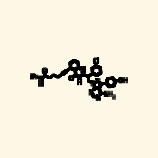 CC(C)NC(=O)CCCC#Cc1cccc2nc(C(Cn3nc(-c4ccc(O)cc4)c4c(N)ncnc43)c3cccc(Cl)c3)[nH]c(=O)c12